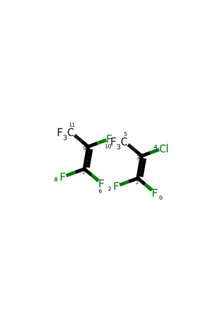 FC(F)=C(Cl)C(F)(F)F.FC(F)=C(F)C(F)(F)F